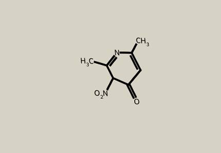 CC1=CC(=O)C([N+](=O)[O-])C(C)=N1